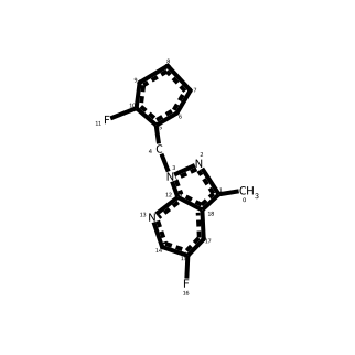 Cc1nn(Cc2ccccc2F)c2ncc(F)cc12